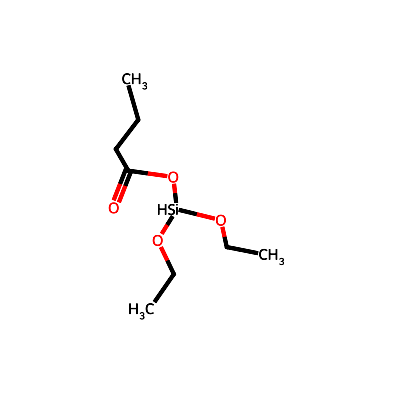 CCCC(=O)O[SiH](OCC)OCC